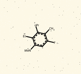 CCCc1c(C)c(F)cc(NC)c1CC